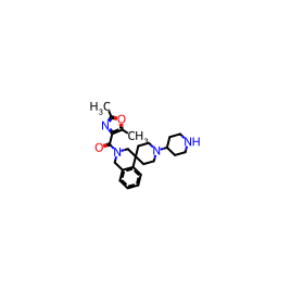 Cc1nc(C(=O)N2Cc3ccccc3C3(CCN(C4CCNCC4)CC3)C2)c(C)o1